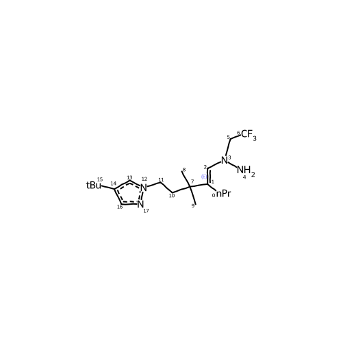 CCC/C(=C\N(N)CC(F)(F)F)C(C)(C)CCn1cc(C(C)(C)C)cn1